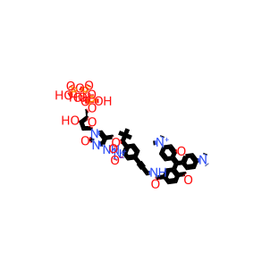 CN(C)c1ccc2c(-c3cc(C(=O)NCC#Cc4ccc(C(OCc5cn([C@H]6C[C@@H](O)[C@@H](COP(=O)(O)OP(=O)(O)OP(=O)(O)O)O6)c(=O)nc5N)C(C)(C)C)c([N+](=O)[O-])c4)ccc3C=O)c3ccc(=[N+](C)C)cc-3oc2c1